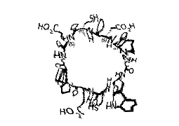 O=C(O)CC[C@@H]1NC(=O)[C@H](CS)NC(=O)[C@H](CC(=O)O)NC(=O)[C@@H]2CCCN2NCC(=O)N[C@@H](Cc2c[nH]c3ccccc23)C(=O)N[C@@H](CS)C(=O)N[C@@H](CCC(=O)O)C(=O)N2CCC[C@H]2C(=O)C(=O)CNC1=O